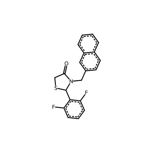 O=C1CSC(c2c(F)cccc2F)N1Cc1ccc2ccccc2c1